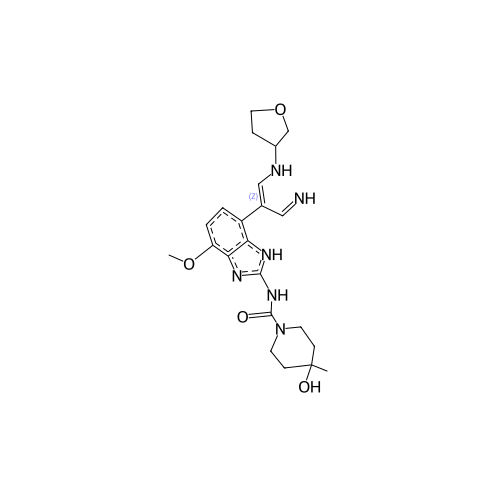 COc1ccc(/C(C=N)=C/NC2CCOC2)c2[nH]c(NC(=O)N3CCC(C)(O)CC3)nc12